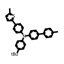 Cc1ccc(-c2ccc(N(c3ccc(-c4ccc(C)s4)cc3)c3ccc(C(C)(C)C)cc3)cc2)cc1